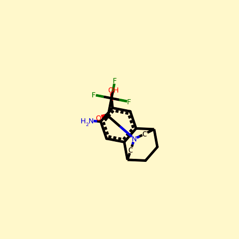 Nc1cc2c(cc1O)C1CCC2CN(C(=O)C(F)(F)F)C1